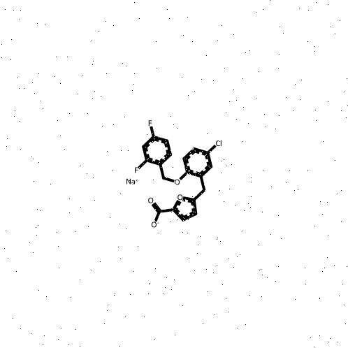 O=C([O-])c1ccc(Cc2cc(Cl)ccc2OCc2ccc(F)cc2F)o1.[Na+]